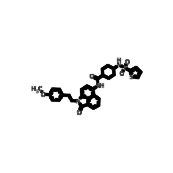 COc1ccc(CCN2C(=O)c3cccc4c(NC(=O)C5CCC(NS(=O)(=O)c6cccs6)CC5)ccc2c34)cc1